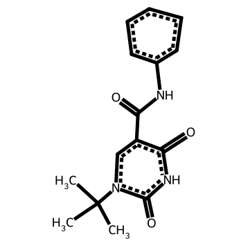 CC(C)(C)n1cc(C(=O)Nc2ccccc2)c(=O)[nH]c1=O